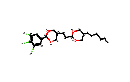 CCCCCCC1COC(CCC2COC(c3cc(F)c(F)c(F)c3)OC2)OC1